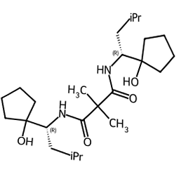 CC(C)C[C@@H](NC(=O)C(C)(C)C(=O)N[C@H](CC(C)C)C1(O)CCCC1)C1(O)CCCC1